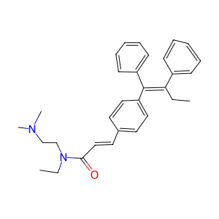 CCC(=C(c1ccccc1)c1ccc(C=CC(=O)N(CC)CCN(C)C)cc1)c1ccccc1